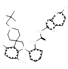 CC(C)(C)CN1CCC2(CC1)CN(c1ccccc1NC(=O)Nc1nc3ccc(Cl)nc3s1)c1c(O)ccc(F)c12